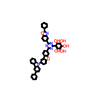 Oc1c(O)c(O)c(-c2nc(-c3ccc4oc(-c5ccccc5)nc4c3)nc(-c3ccc4c(c3)oc3ccc(-n5c6ccccc6c6cc(-c7ccccc7)ccc65)cc34)n2)c(O)c1O